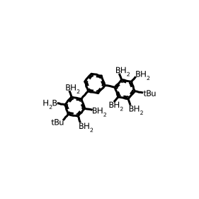 Bc1c(B)c(C(C)(C)C)c(B)c(B)c1-c1cccc(-c2c(B)c(B)c(C(C)(C)C)c(B)c2B)c1